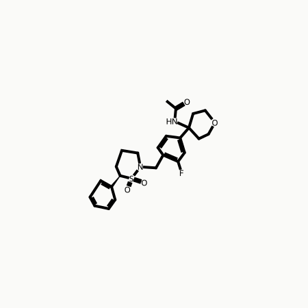 CC(=O)NC1(c2ccc(CN3CCC[C@H](c4ccccc4)S3(=O)=O)c(F)c2)CCOCC1